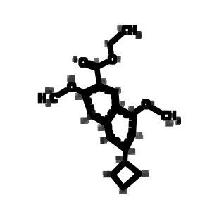 CCOC(=O)c1cc2c(OC)cc(C3CCC3)cc2nc1OC